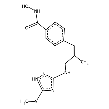 CSc1nc(NCC(C)=Cc2ccc(C(=O)NO)cc2)n[nH]1